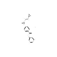 Cl.O=C(Nc1ccccc1)c1ccc([C@@H]2C[C@H]2NCC2CC2)cc1